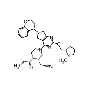 C=CC(=O)N1CCN(c2nc(OC[C@@H]3CCCN3C)nc3c2CN(C2CCOc4ccccc42)C3)C[C@@H]1CC#N